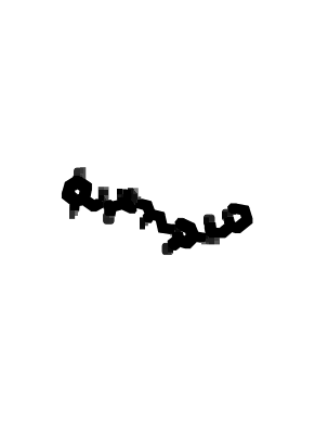 O=C(CC1CCCCO1)Nc1ccn(CCC(F)Cn2cc(C(=O)NCc3cc(Cl)ccc3F)nn2)c(=O)c1